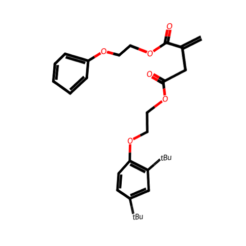 C=C(CC(=O)OCCOc1ccc(C(C)(C)C)cc1C(C)(C)C)C(=O)OCCOc1ccccc1